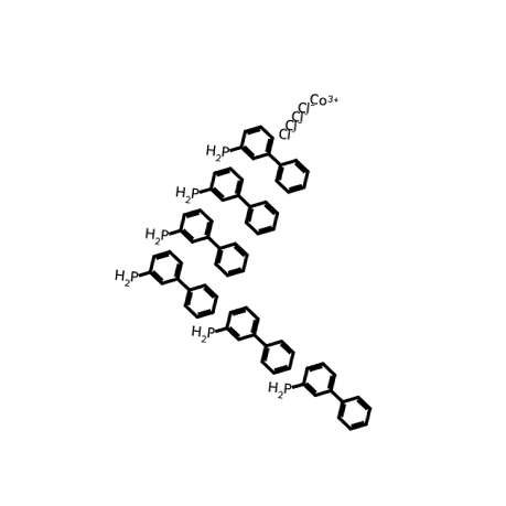 Pc1cccc(-c2ccccc2)c1.Pc1cccc(-c2ccccc2)c1.Pc1cccc(-c2ccccc2)c1.Pc1cccc(-c2ccccc2)c1.Pc1cccc(-c2ccccc2)c1.Pc1cccc(-c2ccccc2)c1.[Cl-].[Cl-].[Cl-].[Cl-].[Co+3]